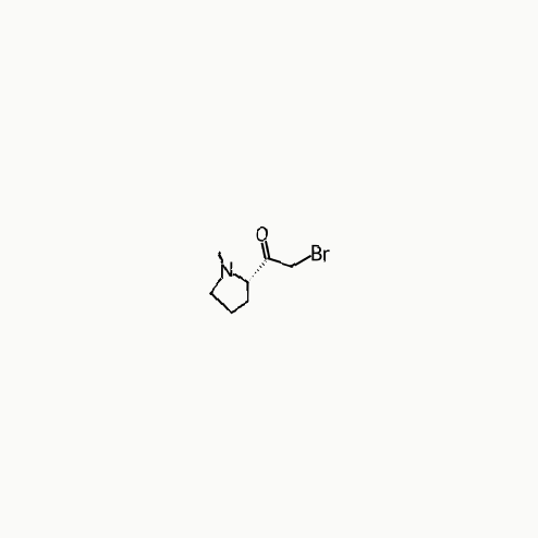 CN1CCC[C@H]1C(=O)CBr